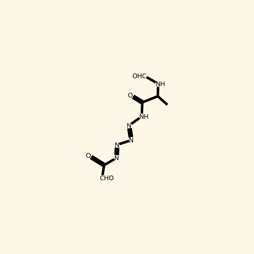 CC(NC=O)C(=O)NN=NN=NC(=O)C=O